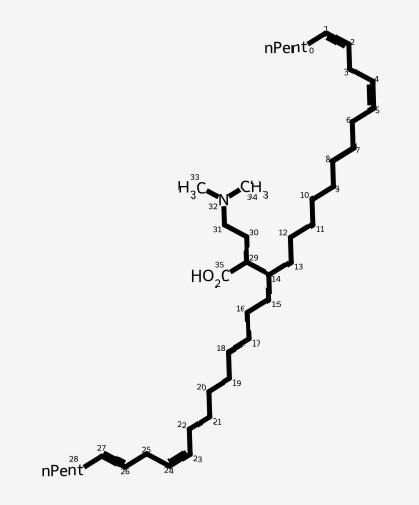 CCCCC/C=C\C/C=C\CCCCCCCCC(CCCCCCCC/C=C\C/C=C/CCCCC)C(CCN(C)C)C(=O)O